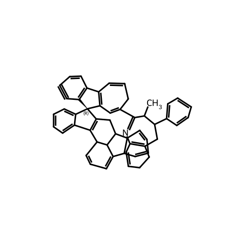 CC1C(C2=CC3=C(C=CC2)c2ccc#cc2[C@]32C3=C(c4ccccc42)C2C=CC=C4C5C=CC=CC5C(C3)C42)=NC2=C(CCC=C2)CC1c1ccccc1